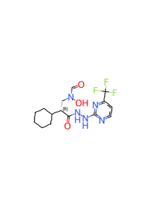 O=CN(O)C[C@H](C(=O)NNc1nccc(C(F)(F)F)n1)C1CCCCC1